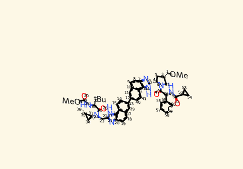 COC[C@H]1C[C@@H](c2nc3ccc4cc(-c5ccc6c(ccc7nc(CN(C(=O)[C@@H](NC(=O)OC)C(C)(C)C)[C@@H]8C[C@@H]8C)[nH]c76)c5)ccc4c3[nH]2)N(C(=O)[C@H](NC(=O)C2CC2)c2ccccc2)C1